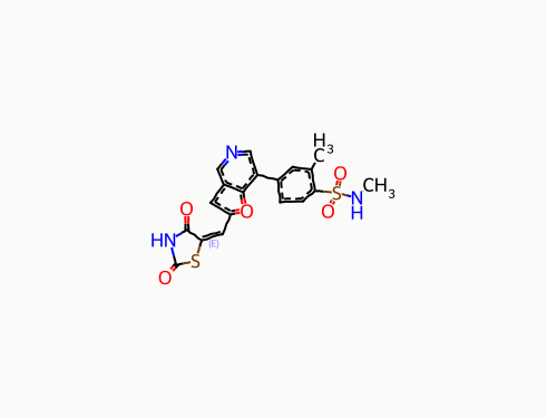 CNS(=O)(=O)c1ccc(-c2cncc3cc(/C=C4/SC(=O)NC4=O)oc23)cc1C